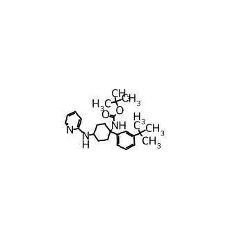 CC(C)(C)OC(=O)NC1(c2cccc(C(C)(C)C)c2)CCC(Nc2ccccn2)CC1